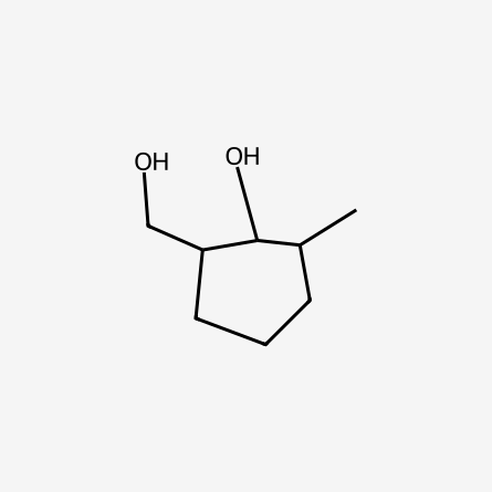 CC1CCCC(CO)C1O